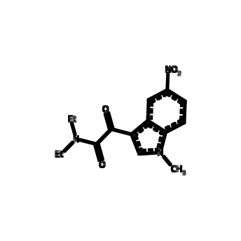 CCN(CC)C(=O)C(=O)c1cn(C)c2ccc([N+](=O)[O-])cc12